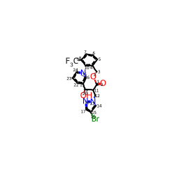 O=C(OCc1cccc(C(F)(F)F)c1)C(Cn1cc(Br)cn1)C(O)c1cccnc1